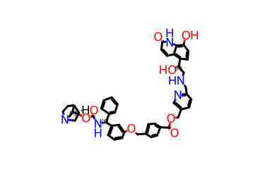 O=C(N[C@@H](c1ccccc1)c1cccc(OCc2ccc(C(=O)OCc3ccc(CNC[C@H](O)c4ccc(O)c5[nH]c(=O)ccc45)nc3)cc2)c1)O[C@H]1CN2CCC1CC2